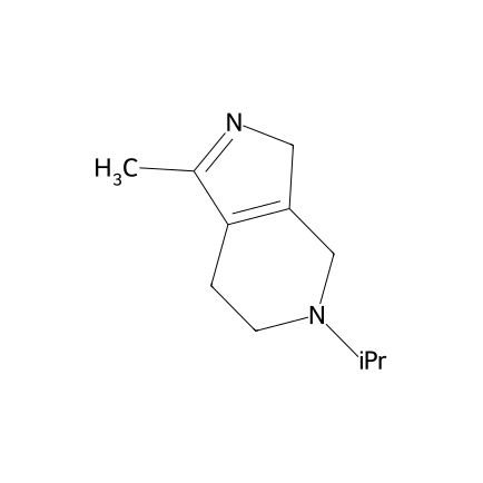 CC1=NCC2=C1CCN(C(C)C)C2